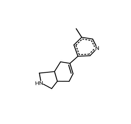 Cc1cncc(C2=CCC3CNCC3C2)c1